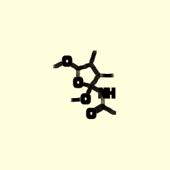 COC1OC(NC(C)=O)(OC)C(C)C1C